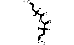 C=CCC(F)(F)C(=O)OC(=O)C(F)(F)CC=C